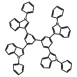 c1ccc(-n2cc(-c3cc(-c4cc(-c5cn(-c6ccccc6)c6ccccc56)cc(-c5cn(-c6ccccc6)c6ccccc56)c4)cc(-c4cn(-c5ccccc5)c5ccccc45)c3)c3ccccc32)cc1